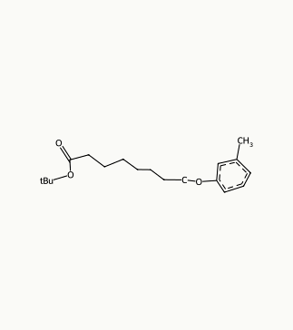 Cc1cccc(OCCCCCCCC(=O)OC(C)(C)C)c1